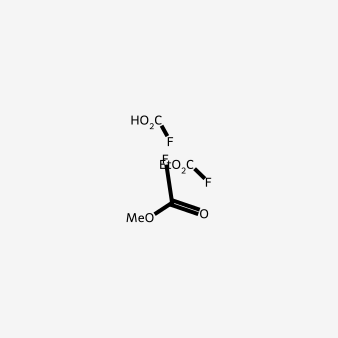 CCOC(=O)F.COC(=O)F.O=C(O)F